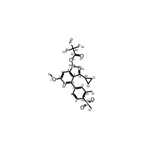 COc1cc2c(c(-c3ccc(S(C)(=O)=O)c(C)c3)n1)c(C1CC1)nn2OC(=O)C(F)(F)F